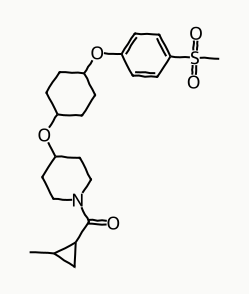 CC1CC1C(=O)N1CCC(OC2CCC(Oc3ccc(S(C)(=O)=O)cc3)CC2)CC1